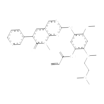 C=CC(=O)Nc1cc(Nc2ncc3cc(-c4cccnc4)c(=O)n(C)c3n2)c(OC)cc1N(C)CCN(C)C